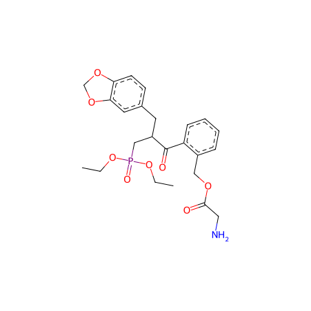 CCOP(=O)(CC(Cc1ccc2c(c1)OCO2)C(=O)c1ccccc1COC(=O)CN)OCC